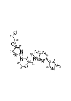 Cn1cc(-c2cnc3nnn(CC4CN(c5ncc(OCCCl)cn5)CCO4)c3n2)cn1